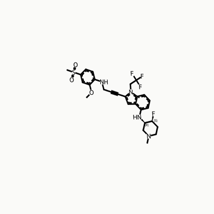 COc1cc(S(C)(=O)=O)ccc1NCC#Cc1cc2c(N[C@@H]3CN(C)CC[C@@H]3F)cccc2n1CC(F)(F)F